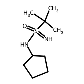 CC(C)(C)S(=N)(=O)NC1CCCC1